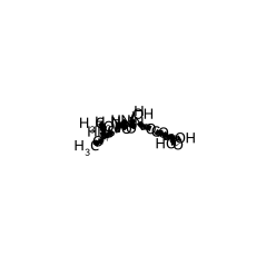 COC[C@H](CSC[C@H](N)C(=O)N[C@@H](CO)C(=O)NCCOCCOCCP(=O)(O)O)NC(C)=O